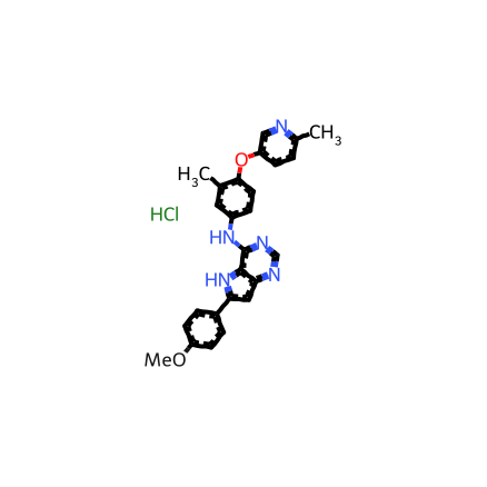 COc1ccc(-c2cc3ncnc(Nc4ccc(Oc5ccc(C)nc5)c(C)c4)c3[nH]2)cc1.Cl